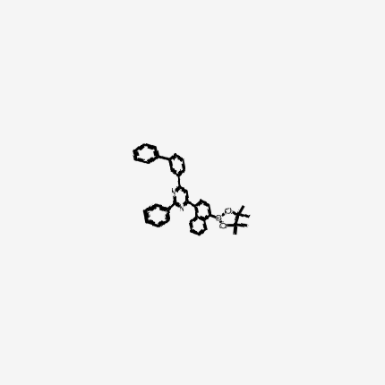 CC1(C)OB(c2ccc(-c3cc(-c4cccc(-c5ccccc5)c4)nc(-c4ccccc4)n3)c3ccccc23)OC1(C)C